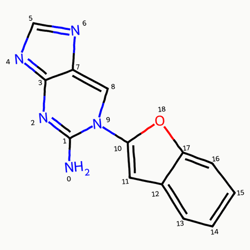 Nc1nc2ncnc-2cn1-c1cc2ccccc2o1